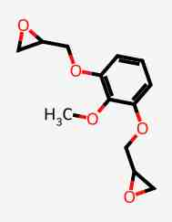 COc1c(OCC2CO2)cccc1OCC1CO1